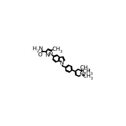 Cc1cc(C(N)=O)nn1-c1ccc2c(ccn2Cc2ccc(C3=CCN(C)C(C)(C)C3)cc2)c1